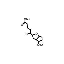 COC(=O)CCCC(Br)C1CC2C(C=O)CCC2O1